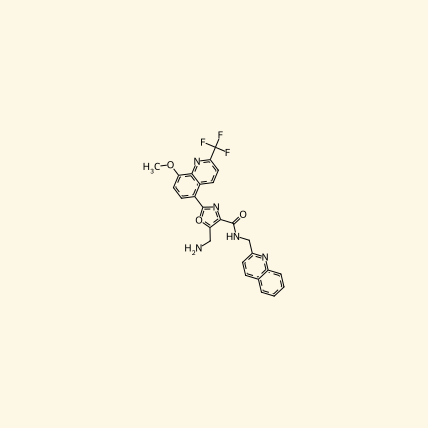 COc1ccc(-c2nc(C(=O)NCc3ccc4ccccc4n3)c(CN)o2)c2ccc(C(F)(F)F)nc12